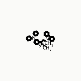 C=Nc1sc2ccc(N(c3ccccc3)c3ccccc3)cc2c1/C=C(\C)n1c2ccccc2c2ccccc21